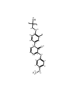 Cc1cc(-n2ccnc(Sc3ccc(OC(F)(F)F)cc3)c2=O)cnc1OCC(C)(C)O